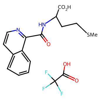 CSCCC(NC(=O)c1nccc2ccccc12)C(=O)O.O=C(O)C(F)(F)F